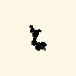 CCc1cc(NCCOC)c2ncc(CCc3cncc(-n4cc(-c5ccn(C)n5)c5c(N)ncnc54)c3)cc2n1